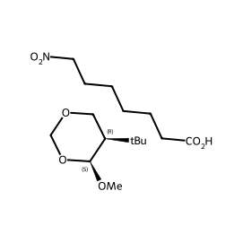 CO[C@H]1OCOC[C@H]1C(C)(C)C.O=C(O)CCCCCC[N+](=O)[O-]